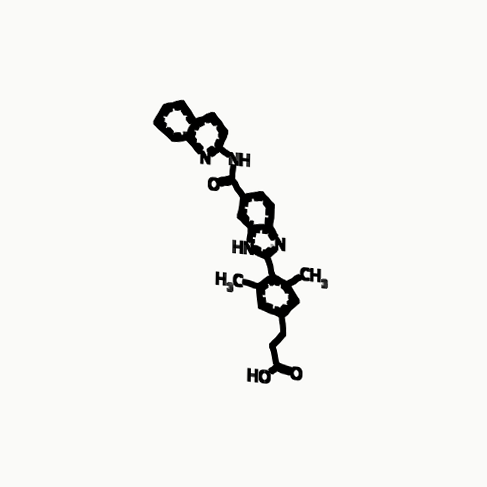 Cc1cc(CCC(=O)O)cc(C)c1-c1nc2ccc(C(=O)Nc3ccc4ccccc4n3)cc2[nH]1